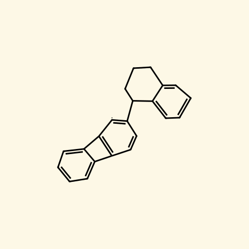 [c]1c(C2CCCc3ccccc32)ccc2c1-c1ccccc1-2